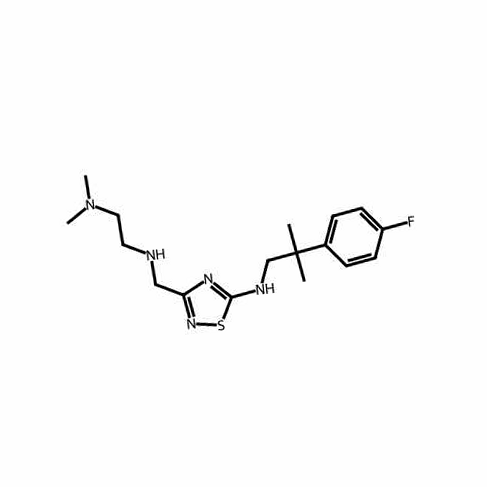 CN(C)CCNCc1nsc(NCC(C)(C)c2ccc(F)cc2)n1